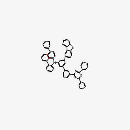 c1ccc(-c2ccc(N(c3cc(-c4cccc(-c5nc(-c6ccccc6)nc(-c6ccccc6)n5)c4)cc(-c4ccc5sc6ccccc6c5c4)c3)c3ccccc3-c3ccccc3)cc2)cc1